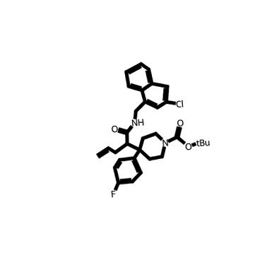 C=CCC(C(=O)NCc1cc(Cl)cc2ccccc12)C1(c2ccc(F)cc2)CCN(C(=O)OC(C)(C)C)CC1